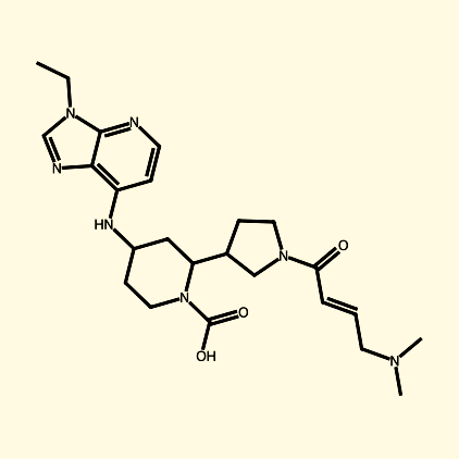 CCn1cnc2c(NC3CCN(C(=O)O)C(C4CCN(C(=O)/C=C/CN(C)C)C4)C3)ccnc21